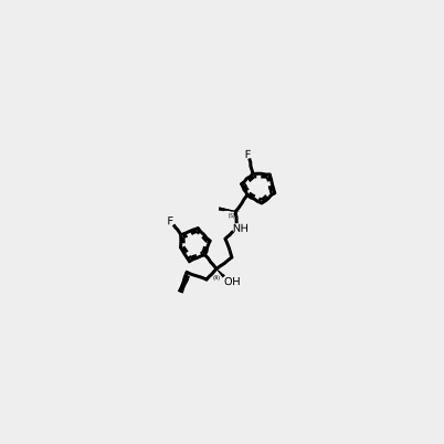 C=CC[C@@](O)(CCN[C@@H](C)c1cccc(F)c1)c1ccc(F)cc1